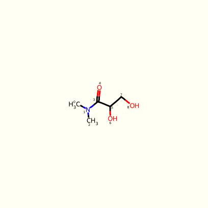 CN(C)C(=O)C(O)CO